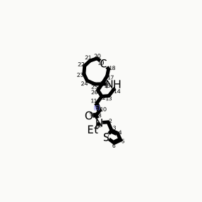 CCN(Cc1cccs1)C(=O)/C=C/C1CCNC2(CCCCCCCCC2)C1